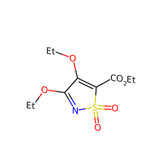 CCOC(=O)C1=C(OCC)C(OCC)=NS1(=O)=O